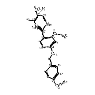 CCOc1cc(OCc2ccc(OC)cc2)ncc1-c1ncc(C(=O)O)c(C)n1